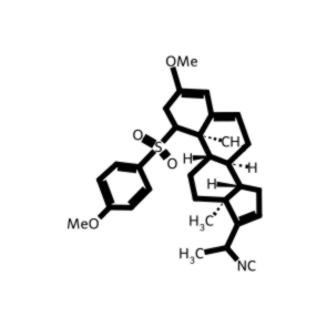 [C-]#[N+]C(C)C1=CC[C@H]2[C@@H]3CC=C4C=C(OC)CC(S(=O)(=O)c5ccc(OC)cc5)[C@]4(C)[C@H]3CC[C@]12C